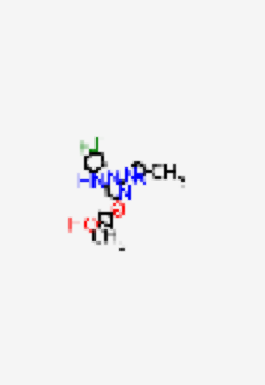 Cc1ccn(-c2nc(NC3CCC(F)(F)CC3)cc(OC3CC(C)(O)C3)n2)n1